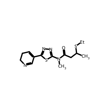 CCSC(C)CC(=O)N(C)c1nnc(C2=CCCN=C2)s1